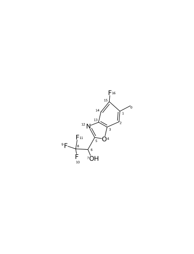 Cc1cc2oc(C(O)C(F)(F)F)nc2cc1F